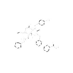 C=CCN1CC(=O)N2[C@@H](Cc3ccc(O)cc3)C(=O)N(Cc3cccc(-c4cccc(C(N)=O)c4)c3)C[C@@H]2N1C(=O)NCc1ccccc1